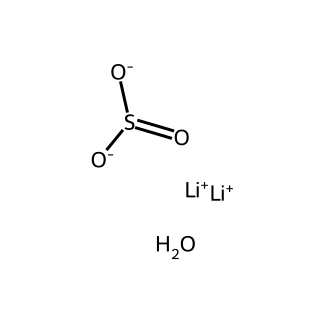 O.O=S([O-])[O-].[Li+].[Li+]